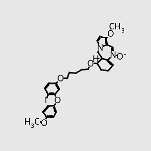 COc1ccc(Oc2cc(OCCCCCOC3CCC=C4[C@@H]3Cn3ccc(OC)c3C=[N+]4[O-])ccc2I)cc1